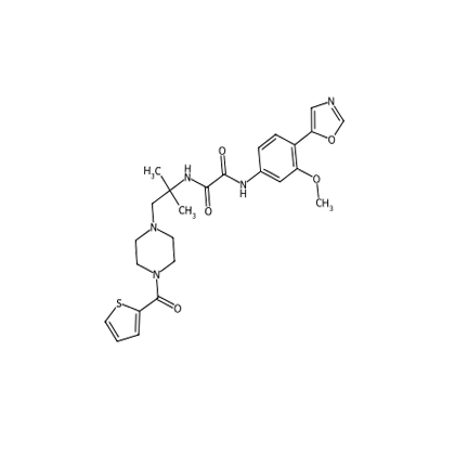 COc1cc(NC(=O)C(=O)NC(C)(C)CN2CCN(C(=O)c3cccs3)CC2)ccc1-c1cnco1